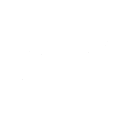 Cc1ccc(N(c2ccc3cc4c(cc3c2)oc2c4ccc3oc4cc5cc(N(c6ccc(C)cc6C)c6ccc(C)cc6C)ccc5cc4c32)c2ccc(C)cc2C)c(C)c1